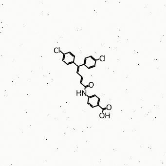 O=C(C=CC=C(c1ccc(Cl)cc1)c1ccc(Cl)cc1)Nc1ccc(C(=O)O)cc1